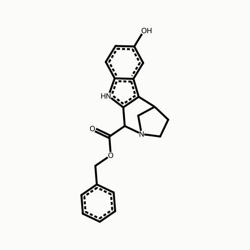 O=C(OCc1ccccc1)C1c2[nH]c3ccc(O)cc3c2C2CCN1C2